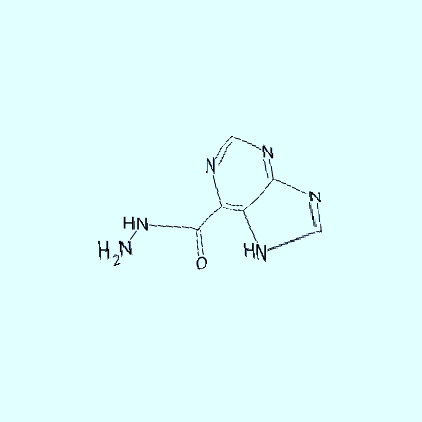 NNC(=O)c1ncnc2nc[nH]c12